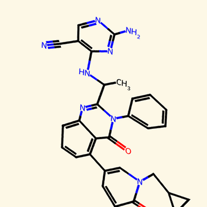 CC(Nc1nc(N)ncc1C#N)c1nc2cccc(-c3ccc(=O)n(CC4CC4)c3)c2c(=O)n1-c1ccccc1